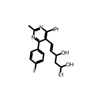 CCC(O)CC(O)/C=C/c1c(-c2ccc(F)cc2)nc(C)nc1C(C)C